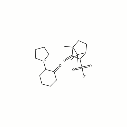 CC12CCC(C(S(=O)(=O)[O-])C1=O)C2(C)C.O=C1CCCCC1[S+]1CCCC1